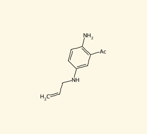 C=CCNc1ccc(N)c(C(C)=O)c1